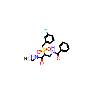 N#CCNC(=O)C(CNC(=O)c1ccccc1)S(=O)(=O)Cc1cccc(F)c1